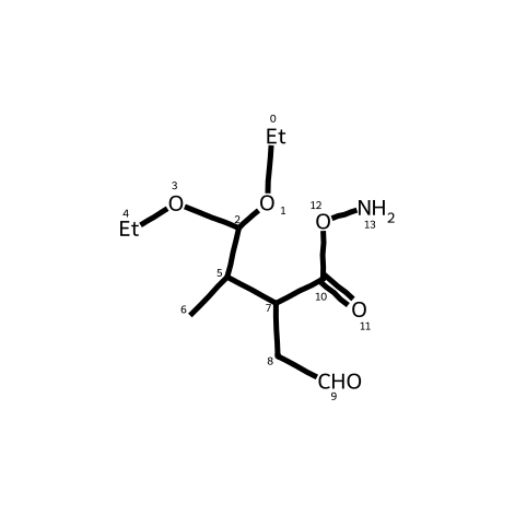 CCOC(OCC)C(C)C(CC=O)C(=O)ON